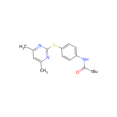 Cc1cc(C)nc(Sc2ccc(NC(=O)C(C)(C)C)cc2)n1